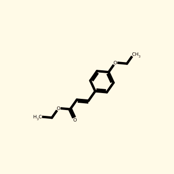 CCOC(=O)/C=C/c1ccc(OCC)cc1